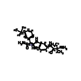 CC(C)(N)C(=O)Nc1ccc2c(c1)N/C(=C(/C(N)=O)c1nccc(C(F)(F)F)n1)N2